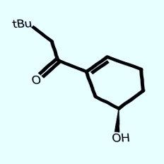 CC(C)(C)CC(=O)C1=CCC[C@@H](O)C1